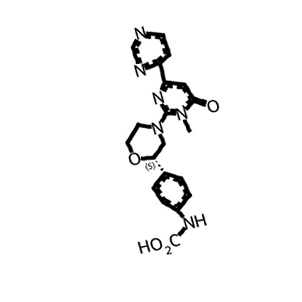 Cn1c(N2CCO[C@@H](c3ccc(NC(=O)O)cc3)C2)nc(-c2ccncn2)cc1=O